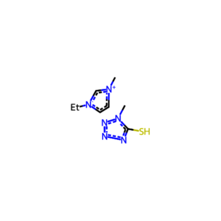 CCn1cc[n+](C)c1.Cn1nnnc1S